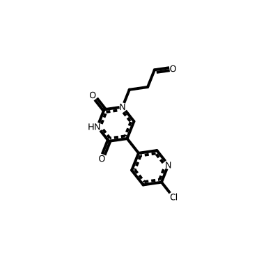 O=CCCn1cc(-c2ccc(Cl)nc2)c(=O)[nH]c1=O